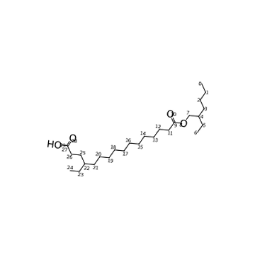 CCCCC(CC)COC(=O)CCCCCCCCCCCC(CC)CCC(=O)O